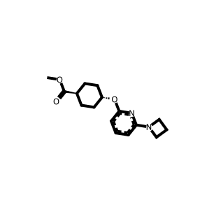 COC(=O)[C@H]1CC[C@H](Oc2cccc(N3CCC3)n2)CC1